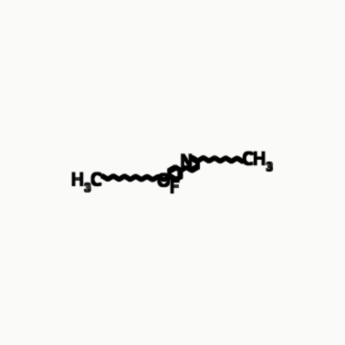 CCCCCCCCCCCCOc1ccc(-c2ccc(CCCCCCCCC)cn2)cc1F